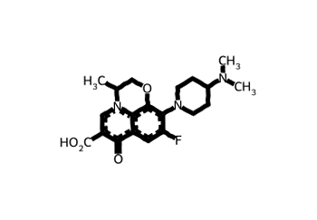 CC1COc2c(N3CCC(N(C)C)CC3)c(F)cc3c(=O)c(C(=O)O)cn1c23